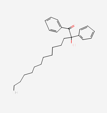 CCCCCCCCCCCCC(O)(C(=O)c1ccccc1)c1ccccc1